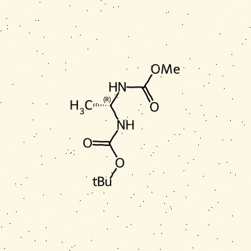 COC(=O)N[C@@H](C)NC(=O)OC(C)(C)C